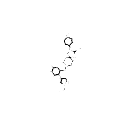 CC(C)Cn1cc(-c2ccc(C(F)(F)F)cc2CN2CCC3(CC2)CN(c2ccc(C(=O)O)cc2)C(=O)O3)cn1